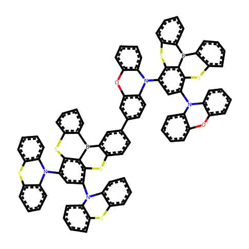 c1ccc2c(c1)Oc1ccccc1N2c1cc(N2c3ccccc3Oc3cc(-c4ccc5c(c4)B4c6ccccc6Sc6c(N7c8ccccc8Sc8ccccc87)cc(N7c8ccccc8Sc8ccccc87)c(c64)S5)ccc32)c2c3c1Sc1ccccc1B3c1ccccc1S2